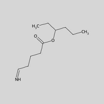 CCCC(CC)OC(=O)CCCC=N